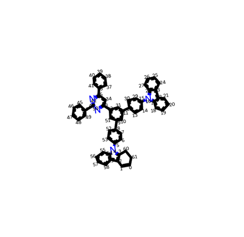 C1=Cc2c(n(-c3ccc(-c4cc(-c5ccc(-n6c7ccccc7c7ccccc76)cc5)cc(-c5cc(-c6ccccc6)nc(-c6ccccc6)n5)c4)cc3)c3ccccc23)CC1